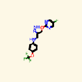 N=N/C(=C\Nc1ccc(OC(F)(F)F)cc1)COc1ncc(F)cn1